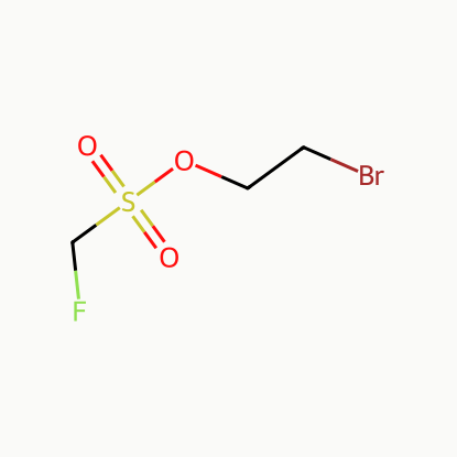 O=S(=O)(CF)OCCBr